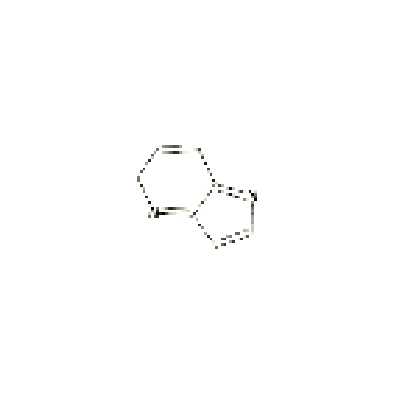 C1=CC2=NC=CC2=NC1